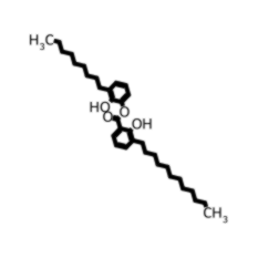 CCCCCCCCCCCCc1cccc(C(=O)Oc2cccc(CCCCCCCCC)c2O)c1O